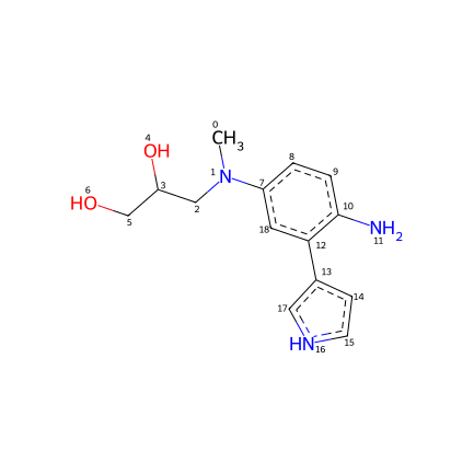 CN(CC(O)CO)c1ccc(N)c(-c2cc[nH]c2)c1